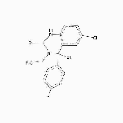 CCC1(c2ccc(F)cc2)c2cc(Cl)ccc2NC(=O)N1CC(F)(F)F